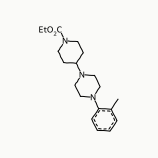 CCOC(=O)N1CCC(N2CCN(c3ccccc3C)CC2)CC1